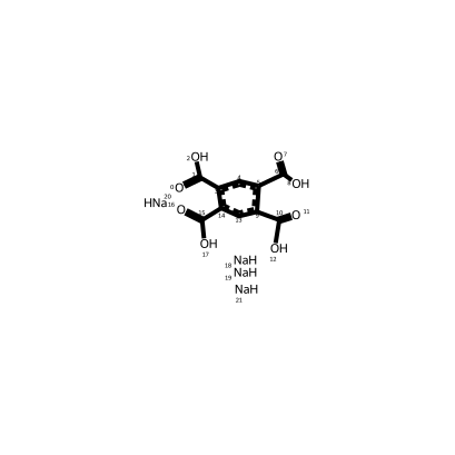 O=C(O)c1cc(C(=O)O)c(C(=O)O)cc1C(=O)O.[NaH].[NaH].[NaH].[NaH]